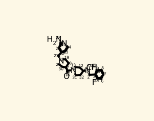 CN(Cc1c(F)cccc1F)C1CCN(C(=O)C2CCN(Cc3ccnc(N)c3)CC2)CC1